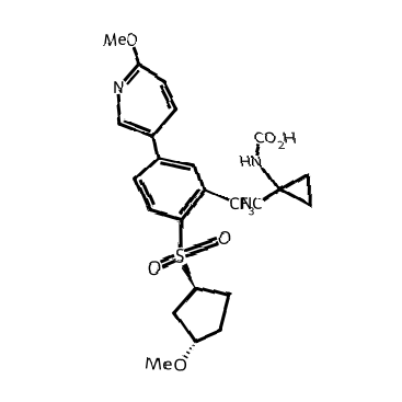 COc1ccc(-c2ccc(S(=O)(=O)[C@H]3CC[C@H](OC)C3)c(C(F)(F)F)c2)cn1.N#CC1(NC(=O)O)CC1